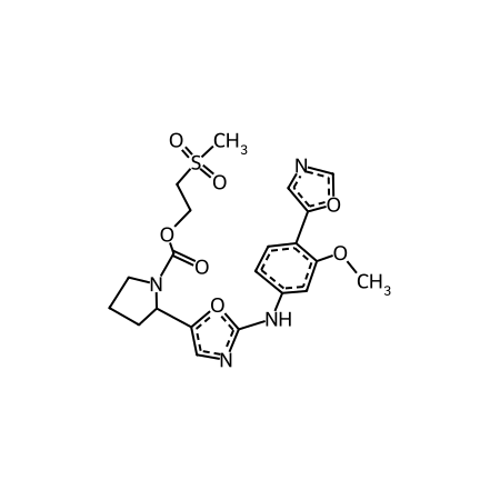 COc1cc(Nc2ncc(C3CCCN3C(=O)OCCS(C)(=O)=O)o2)ccc1-c1cnco1